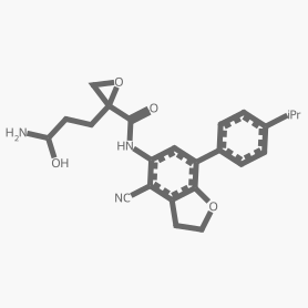 CC(C)c1ccc(-c2cc(NC(=O)C3(CCC(N)O)CO3)c(C#N)c3c2OCC3)cc1